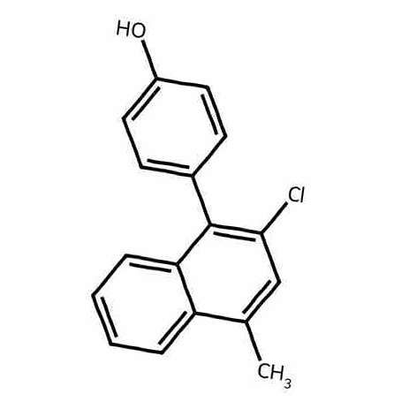 Cc1cc(Cl)c(-c2ccc(O)cc2)c2ccccc12